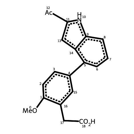 COc1ccc(-c2cccc3[nH]c(C(C)=O)cc23)cc1CC(=O)O